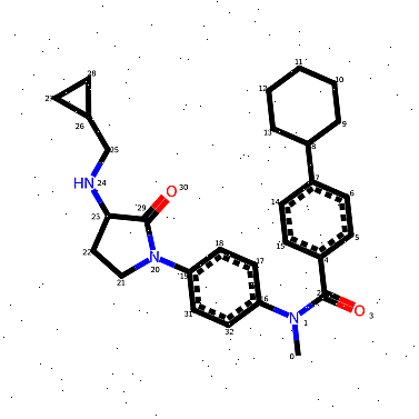 CN(C(=O)c1ccc(C2CCCCC2)cc1)c1ccc(N2CCC(NCC3CC3)C2=O)cc1